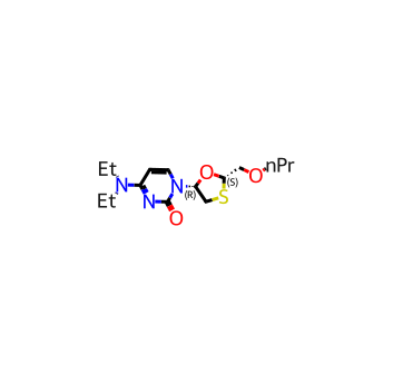 CCCOC[C@H]1O[C@@H](n2ccc(N(CC)CC)nc2=O)CS1